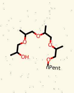 CCCCCOCC(C)OCC(C)OCC(C)OCC(C)O